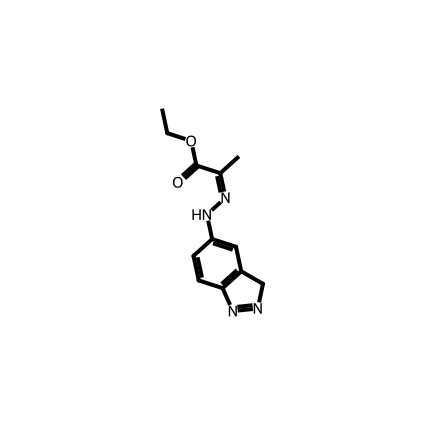 CCOC(=O)/C(C)=N\Nc1ccc2c(c1)CN=N2